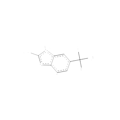 Cc1nc2ccc(C(C)(F)F)cc2[nH]1